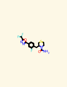 NC(=O)N1CCSCC1Cc1ccc(-c2nnc(C(F)F)o2)cc1F